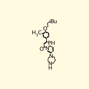 CCC(C)CCOc1ccc(C2=CC(=O)N3C=C(N4CCCNCC4)C=CC3P2)cc1C